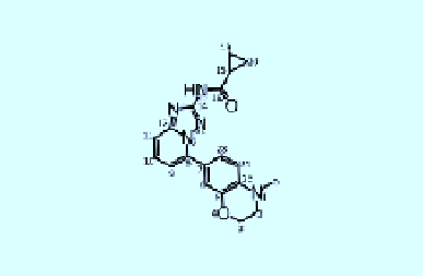 CN1CCOc2cc(-c3cccc4nc(NC(=O)C5CC5)nn34)ccc21